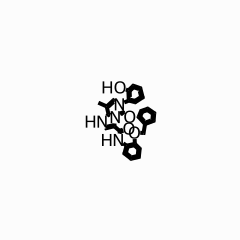 CC1=CN(c2ccccc2O)C(=O)N2C(C(=O)Nc3ccccc3OCc3ccccc3)=CNC12